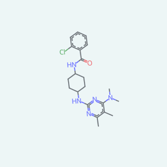 Cc1nc(NC2CCC(NC(=O)c3ccccc3Cl)CC2)nc(N(C)C)c1C